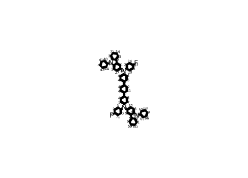 Fc1ccc(N(c2ccc(-c3ccc(-c4ccc(N(c5ccc(F)cc5)c5ccc6c(c5)c5ccccc5n6-c5ccccc5)cc4)cc3)cc2)c2ccc3c(c2)c2ccccc2n3-c2ccccc2)cc1